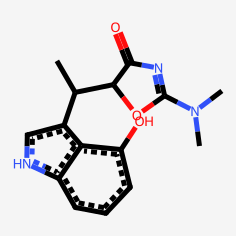 CC(c1c[nH]c2cccc(O)c12)C1OC(N(C)C)=NC1=O